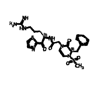 CS(=O)(=O)N1C=CN(CC(=O)N[C@@H](CCCNC(=N)N)C(=O)c2nccs2)C(=O)[C@H]1Cc1ccccc1